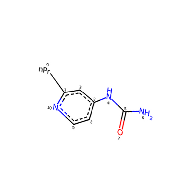 CCCc1cc(NC(N)=O)ccn1